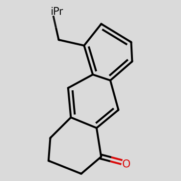 CC(C)Cc1cccc2cc3c(cc12)CCCC3=O